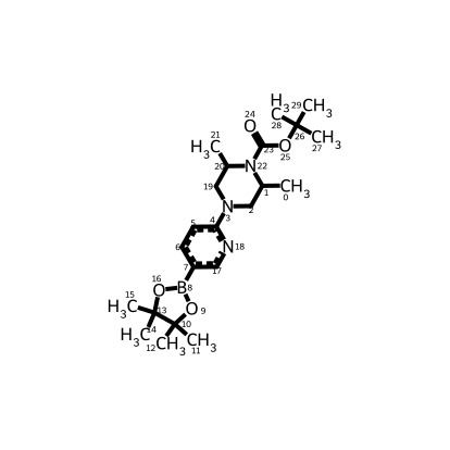 CC1CN(c2ccc(B3OC(C)(C)C(C)(C)O3)cn2)CC(C)N1C(=O)OC(C)(C)C